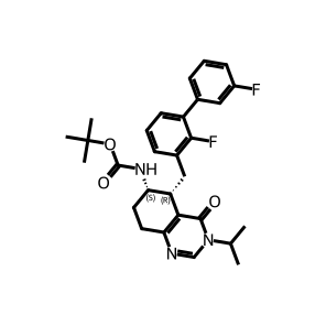 CC(C)n1cnc2c(c1=O)[C@@H](Cc1cccc(-c3cccc(F)c3)c1F)[C@@H](NC(=O)OC(C)(C)C)CC2